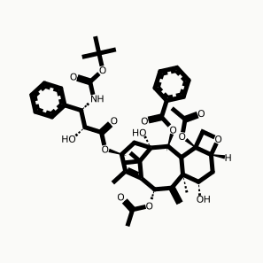 C=C1[C@H](OC(C)=O)C2=C(C)[C@@H](OC(=O)[C@H](O)[C@@H](NC(=O)OC(C)(C)C)c3ccccc3)C[C@@](O)([C@@H](OC(=O)c3ccccc3)C3[C@@]1(C)[C@@H](O)C[C@H]1OC[C@@]31OC(C)=O)C2(C)C